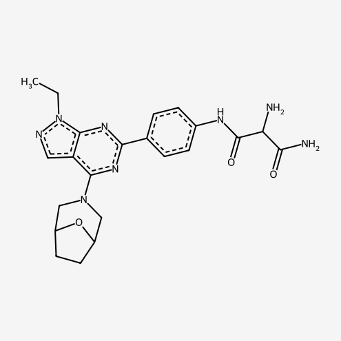 CCn1ncc2c(N3CC4CCC(C3)O4)nc(-c3ccc(NC(=O)C(N)C(N)=O)cc3)nc21